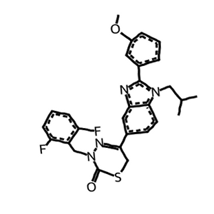 COc1cccc(-c2nc3cc(C4=NN(Cc5c(F)cccc5F)C(=O)SC4)ccc3n2CC(C)C)c1